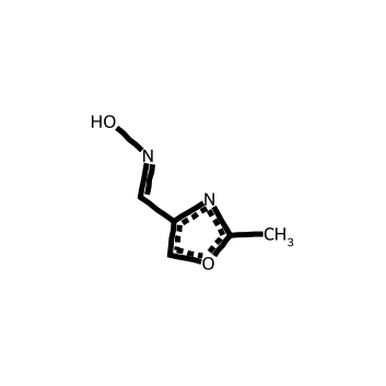 Cc1nc(C=NO)co1